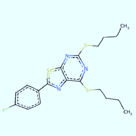 CCCCSc1nc(SCCCC)c2nc(-c3ccc(F)cc3)sc2n1